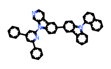 c1ccc(-c2cc(-c3ccccc3)nc(-n3c4ccc(-c5ccc6c(c5)c5ccccc5n6-c5cccc6ccccc56)cc4c4ccncc43)c2)cc1